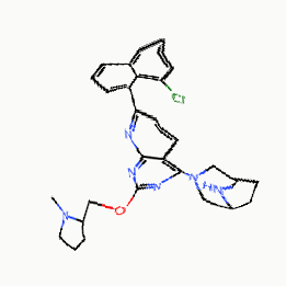 CN1CCCC1COc1nc(N2CC3CCC(C2)N3)c2ccc(-c3cccc4cccc(Cl)c34)nc2n1